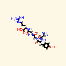 N=C(N)NCCC[C@H](NC(=O)CNC(=O)CNC(=O)[C@H](Cc1ccc(O)cc1)NC(=O)CN)C(=O)O